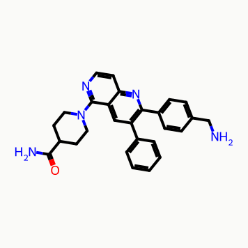 NCc1ccc(-c2nc3ccnc(N4CCC(C(N)=O)CC4)c3cc2-c2ccccc2)cc1